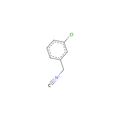 [C-]#[N+]Cc1cccc(Cl)c1